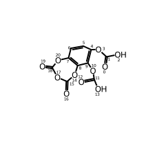 O=C(O)Oc1ccc2c(c1OC(=O)O)OC(=O)OC(=O)O2